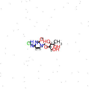 CC(O)C(O)[C@@H](CO)OCn1ccc(NCl)nc1=O